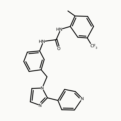 Cc1ccc(C(F)(F)F)cc1NC(=O)Nc1cccc(Cn2ccnc2-c2ccncc2)c1